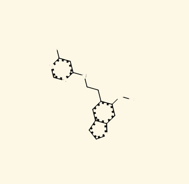 COc1cc2sccc2cc1CCNc1cc(Cl)ncn1